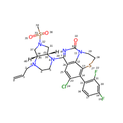 C=CCN1CCN(c2nc(=O)n3c4c(c(-c5ccc(F)cc5F)c(Cl)cc24)SCC3)[C@H]2CN(S(C)(=O)=O)C[C@H]21